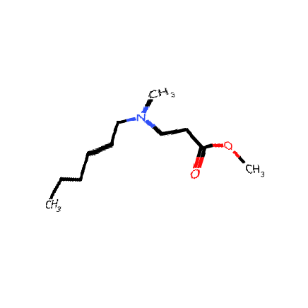 CCCCCCN(C)CCC(=O)OC